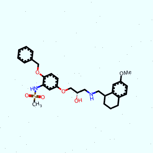 COc1ccc2c(c1)C(CNC[C@H](O)COc1ccc(OCc3ccccc3)c(NS(C)(=O)=O)c1)CCC2